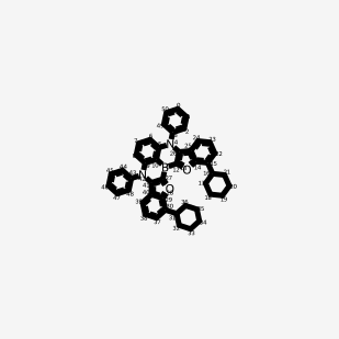 c1ccc(N2c3cccc4c3B(c3oc5c(C6CCCCC6)cccc5c32)c2oc3c(C5CCCCC5)cccc3c2N4c2ccccc2)cc1